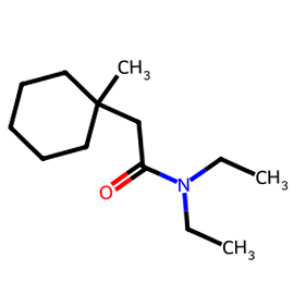 CCN(CC)C(=O)CC1(C)CCCCC1